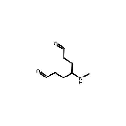 CNC(CCC=O)CCC=O